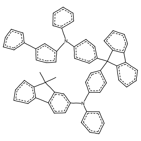 CC1(C)c2ccccc2-c2ccc(N(c3ccccc3)c3ccc(C4(c5ccc(N(c6ccccc6)c6cccc(-c7ccccc7)c6)cc5)c5ccccc5-c5ccccc54)cc3)cc21